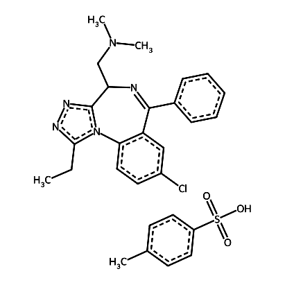 CCc1nnc2n1-c1ccc(Cl)cc1C(c1ccccc1)=NC2CN(C)C.Cc1ccc(S(=O)(=O)O)cc1